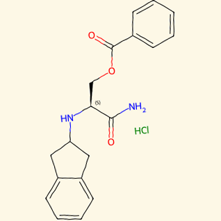 Cl.NC(=O)[C@H](COC(=O)c1ccccc1)NC1Cc2ccccc2C1